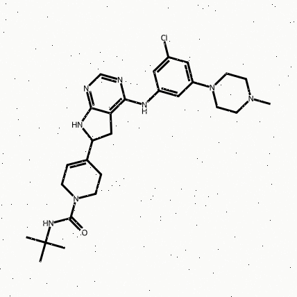 CN1CCN(c2cc(Cl)cc(Nc3ncnc4c3CC(C3=CCN(C(=O)NC(C)(C)C)CC3)N4)c2)CC1